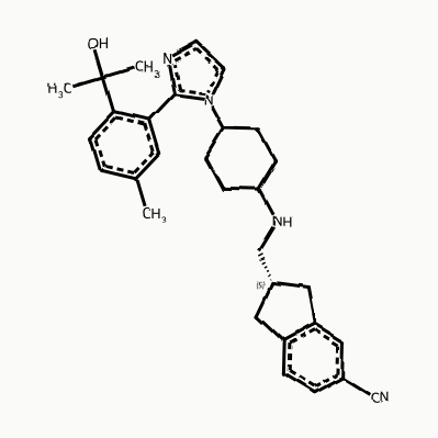 Cc1ccc(C(C)(C)O)c(-c2nccn2C2CCC(NC[C@H]3Cc4ccc(C#N)cc4C3)CC2)c1